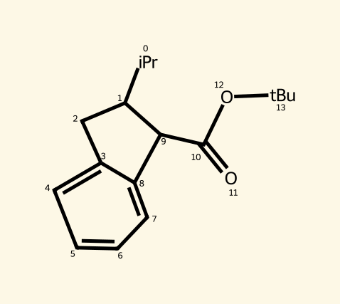 CC(C)C1Cc2ccccc2C1C(=O)OC(C)(C)C